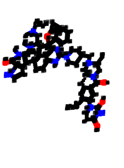 COc1ccc(C(=O)N2C[C@H](C)N(CC3CCN(c4nc(C(CC(CN(C)C(=O)O)N(C)C(=O)O)(OC5CC5)c5ccccc5)c5cc(-c6cn(C)c(=O)c7[nH]ccc67)ccc5n4)CC3)C[C@H]2C)cc1N1CCC(=O)NC1=O